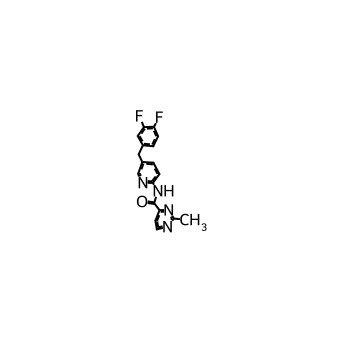 Cc1nccc(C(=O)Nc2ccc(Cc3ccc(F)c(F)c3)cn2)n1